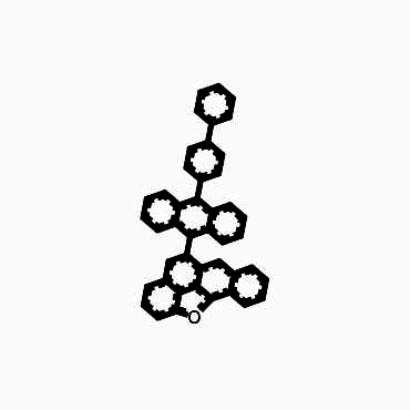 c1ccc(-c2ccc(-c3c4ccccc4c(-c4cc5cccc6oc7c8ccccc8cc4c7c56)c4ccccc34)cc2)cc1